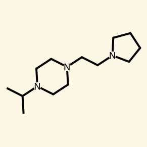 CC(C)N1CCN(CCN2CCCC2)CC1